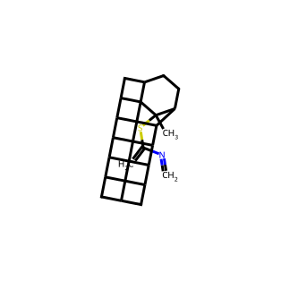 C=NC(=C)SC1(C)C2CCC3CC4C5C6C7C8CC9CC%10C%11C%12C2C5(C341)C%126C%117C9%108